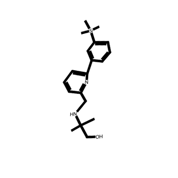 CC(C)(CO)NCc1cccc(-c2cccc([Si](C)(C)C)c2)n1